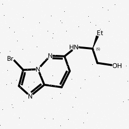 CC[C@@H](CO)Nc1ccc2ncc(Br)n2n1